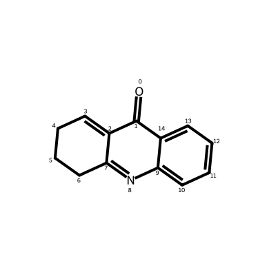 O=C1C2=CCCCC2=Nc2ccccc21